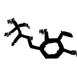 Cc1ccc(CNC(=O)C(C)(C)C)c(C)c1N=S